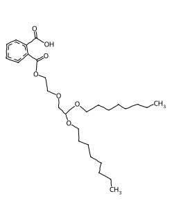 CCCCCCCCOC(COCCOC(=O)c1ccccc1C(=O)O)OCCCCCCCC